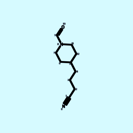 N#CCCCC1CCN(C=O)CC1